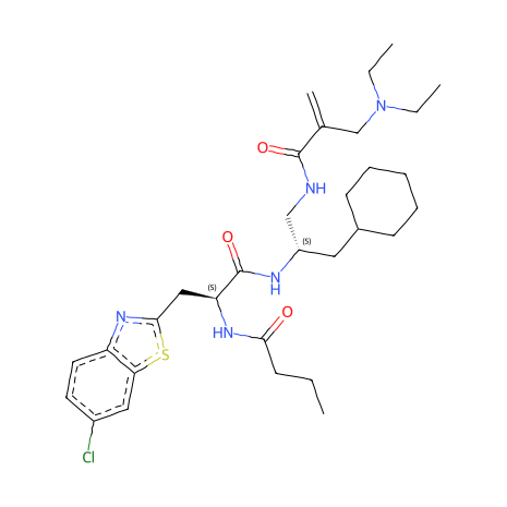 C=C(CN(CC)CC)C(=O)NC[C@H](CC1CCCCC1)NC(=O)[C@H](Cc1nc2ccc(Cl)cc2s1)NC(=O)CCC